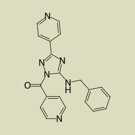 O=C(c1ccncc1)n1nc(-c2ccncc2)nc1NCc1ccccc1